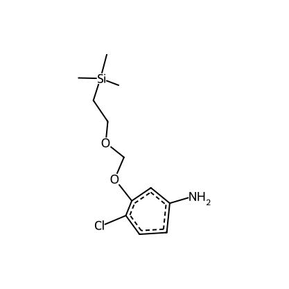 C[Si](C)(C)CCOCOc1cc(N)ccc1Cl